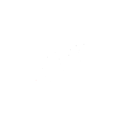 C[C@]12C=CC(O)C=C1CCC1C2CC[C@@]2(C)C1CCC21OCCO1